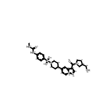 CNC(=O)Nc1ccc(S(=O)(=O)N2CCC(c3ccn4ncc(C(=O)N5CCC(CO)C5)c4c3)CC2)cc1